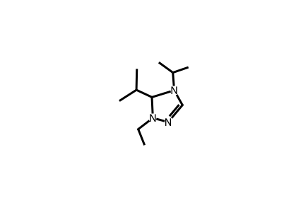 CCN1N=CN(C(C)C)C1C(C)C